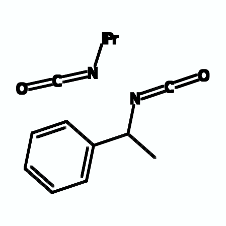 CC(C)N=C=O.CC(N=C=O)c1ccccc1